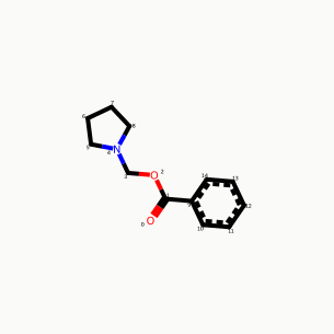 O=C(OCN1CCCC1)c1ccccc1